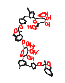 Cc1ccc([C@@H]2O[C@H](CO)[C@@H](O)[C@H](O)[C@H]2O)cc1Cc1ccc(OC[C@@]2(C)OCc3ccc(OC[C@H]4O[C@@H](c5ccc(C)c(Cc6ccc(OC[C@]7(C)OCc8ccccc87)cc6)c5)[C@H](O)[C@@H](O)[C@@H]4O)cc32)cc1